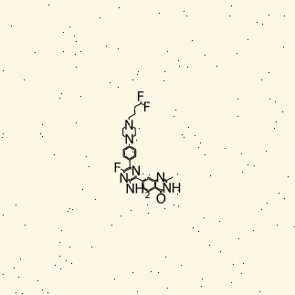 Cc1nc2cc(-c3nc(-c4ccc(N5CCN(CCCC(F)F)CC5)cc4)c(F)nc3N)ccc2c(=O)[nH]1